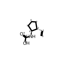 C=C[C@H]1CCC[C@@H]1NC(=O)O